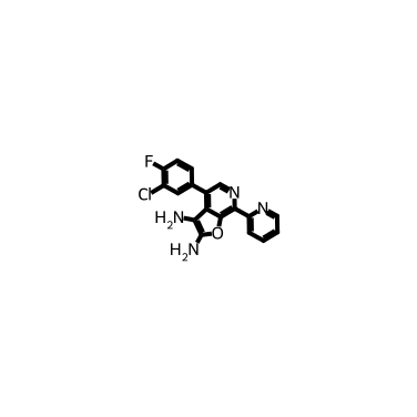 Nc1oc2c(-c3ccccn3)ncc(-c3ccc(F)c(Cl)c3)c2c1N